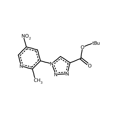 Cc1ncc([N+](=O)[O-])cc1-n1cc(C(=O)OC(C)(C)C)nn1